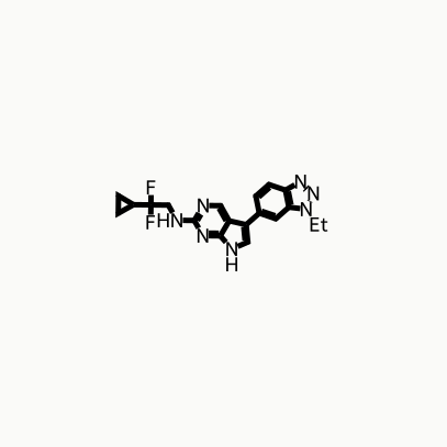 CCn1nnc2ccc(-c3c[nH]c4nc(NCC(F)(F)C5CC5)ncc34)cc21